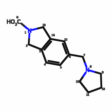 O=C(O)N1Cc2ccc(CN3CCCC3)cc2C1